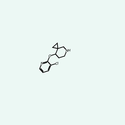 Clc1cccnc1OC1CCNCC12CC2